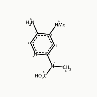 CNc1cc(N(C)C(=O)O)ncc1N